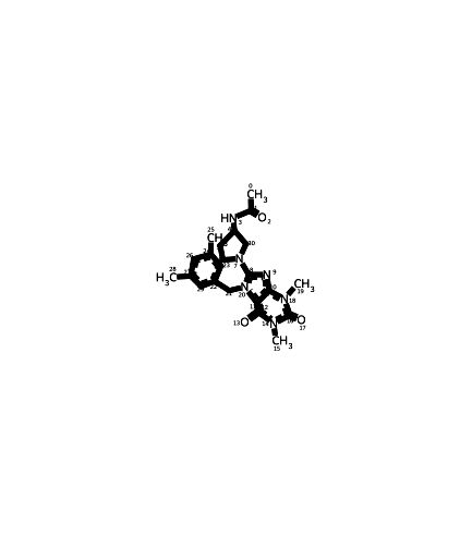 CC(=O)NC1CCN(c2nc3c(c(=O)n(C)c(=O)n3C)n2Cc2cc(C)cc(C)c2)C1